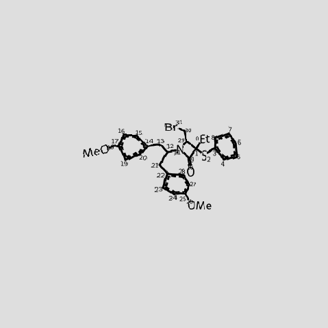 CCC1(Sc2ccccc2)C(=O)N(C(Cc2ccc(OC)cc2)Cc2ccc(OC)cc2)C1CBr